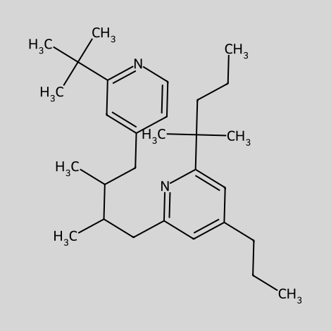 CCCc1cc(CC(C)C(C)Cc2ccnc(C(C)(C)C)c2)nc(C(C)(C)CCC)c1